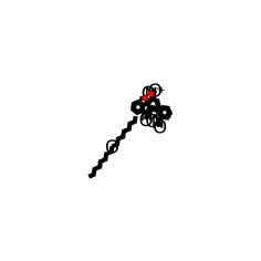 CC(C)C1(c2ccccc2[N+](=O)[O-])C=CC=CC1[N+](=O)[O-].CCCCCCCCOCCCCCCCC.O=[N+]([O-])c1ccccc1